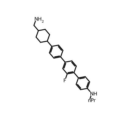 CCCNc1ccc(-c2ccc(-c3ccc(C4CCC(CN)CC4)cc3)cc2F)cc1